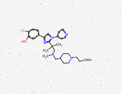 COCCN1CCC(CN(C)CC(C)(C)c2nc(-c3ccc(Cl)c(O)c3)cn2-c2ccncc2)CC1